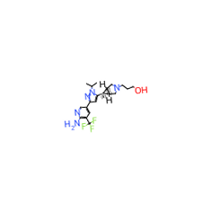 CC(C)n1nc(-c2cnc(N)c(C(F)(F)F)c2)cc1[C@H]1[C@@H]2CN(CCCO)C[C@@H]21